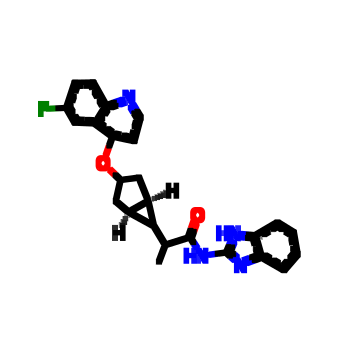 CC(C(=O)Nc1nc2ccccc2[nH]1)C1[C@H]2CC(Oc3ccnc4ccc(F)cc34)C[C@@H]12